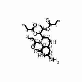 CCC(=O)OC(C)C(OC(=O)CC)C1CNc2nc(N)[nH]c(=O)c2N1C(=O)CC